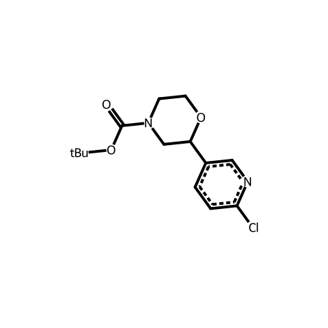 CC(C)(C)OC(=O)N1CCOC(c2ccc(Cl)nc2)C1